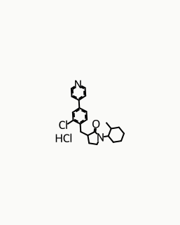 CC1CCCCC1N1CCC(Cc2ccc(-c3ccncc3)cc2Cl)C1=O.Cl